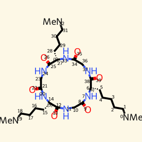 CNCCCCC[C@@H]1NC(=O)CNC(=O)[C@H](CCCCNC)NC(=O)CNC(=O)[C@H](CCCCNC)NC(=O)CNC1=O